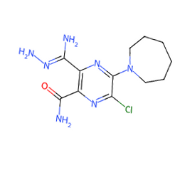 NN=C(N)c1nc(N2CCCCCC2)c(Cl)nc1C(N)=O